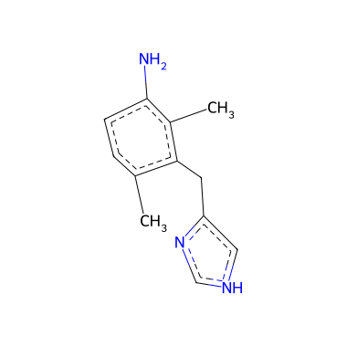 Cc1ccc(N)c(C)c1Cc1c[nH]cn1